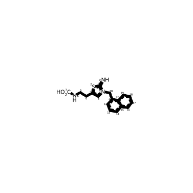 N=c1sc(CCNC(=O)O)cn1Cc1cccc2ccccc12